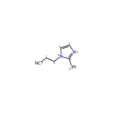 CC(C)c1nccn1CCC#N